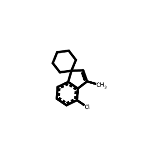 CC1=CC2(CCCCC2)c2cccc(Cl)c21